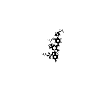 CCS(=O)(=O)CCC1(c2ccc(F)cc2)ON=C2/C(=C/c3ccc(-n4cnc(C)c4)c(OC)c3)CC3(COC3)CN21